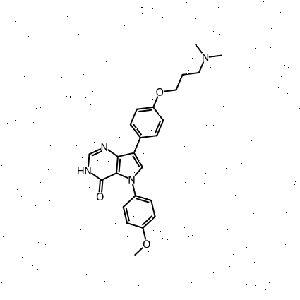 COc1ccc(-n2cc(-c3ccc(OCCCN(C)C)cc3)c3nc[nH]c(=O)c32)cc1